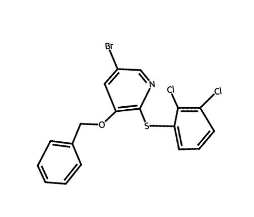 Clc1cccc(Sc2ncc(Br)cc2OCc2ccccc2)c1Cl